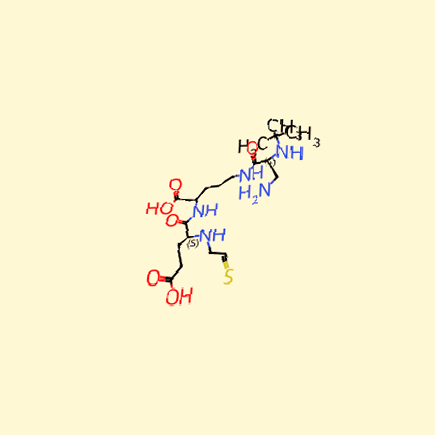 CC(C)(C)N[C@@H](CN)C(=O)NCCCC(NC(=O)[C@H](CCC(=O)O)NCC=S)C(=O)O